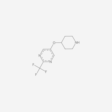 FC(F)(F)c1ncc(OC2CCNCC2)cn1